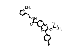 CC(C)Oc1nc2ccc(C(=O)NCCc3cncn3C)cc2nc1-c1ccc(F)cc1